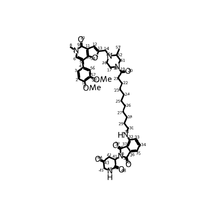 COc1ccc(-c2cn(C)c(=O)c3cc(CN4CCN(C(=O)CCCCCCCCCCNc5cccc6c5C(=O)N(C5CC(=O)CNC5=O)C6=O)CC4C)oc23)cc1OC